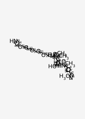 Cc1ncsc1-c1ccc([C@H](C)NC(=O)[C@@H]2C[C@@H](O)CN2C[C@@H](NC(=O)COCCOCCOCCOCCOCCOC2CCNCC2)C(C)(C)C)cc1